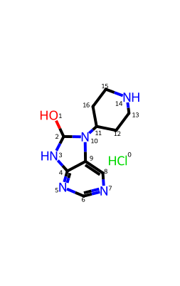 Cl.OC1Nc2ncncc2N1C1CCNCC1